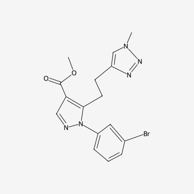 COC(=O)c1cnn(-c2cccc(Br)c2)c1CCc1cn(C)nn1